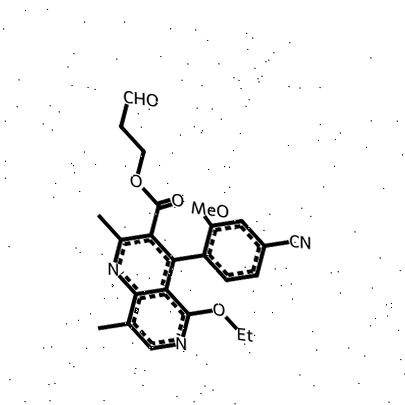 CCOc1ncc(C)c2nc(C)c(C(=O)OCCC=O)c(-c3ccc(C#N)cc3OC)c12